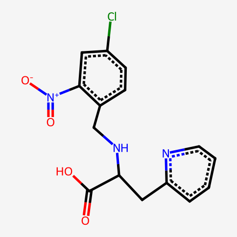 O=C(O)C(Cc1ccccn1)NCc1ccc(Cl)cc1[N+](=O)[O-]